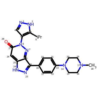 CC(C)c1[nH]ncc1-n1nc2c(-c3ccc(N4CCN(C)CC4)cc3)n[nH]c2cc1=O